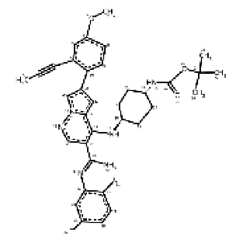 CC#Cc1cc(OC)ccc1-c1cc2c(N[C@H]3CC[C@H](NC(=O)OC(C)(C)C)CC3)c(/C(N)=N/c3cc(F)ccc3Cl)cnn2c1